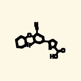 N#Cc1cc(-c2ccc(C(=O)O)s2)cc(F)c1Oc1ccccn1